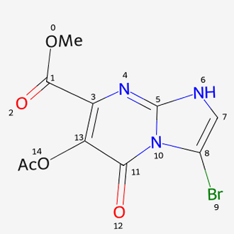 COC(=O)c1nc2[nH]cc(Br)n2c(=O)c1OC(C)=O